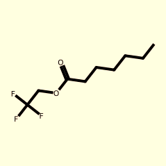 CCCCCCC(=O)OCC(F)(F)F